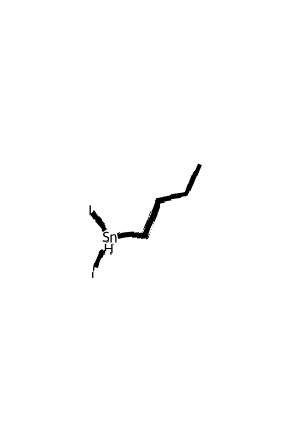 CCC[CH2][SnH]([I])[I]